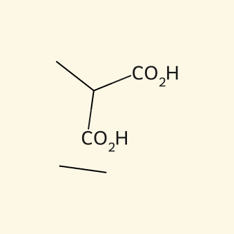 CC.CC(C(=O)O)C(=O)O